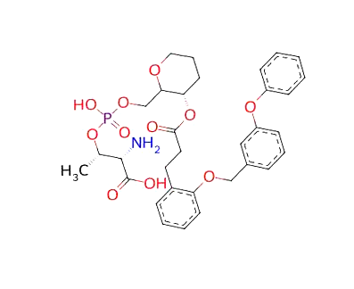 C[C@H](OP(=O)(O)OCC1OCCC[C@@H]1OC(=O)CCc1ccccc1OCc1cccc(Oc2ccccc2)c1)[C@H](N)C(=O)O